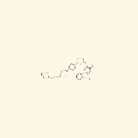 Nc1nnc(-c2ccccc2O)cc1OC1CCCN(c2ccc(N3CCN(CCCN4CCNCC4)CC3)cc2)C1